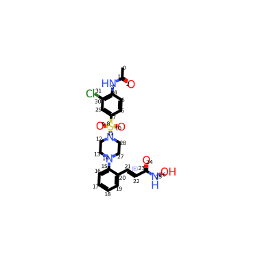 CC(=O)Nc1ccc(S(=O)(=O)N2CCN(c3ccccc3/C=C/C(=O)NO)CC2)cc1Cl